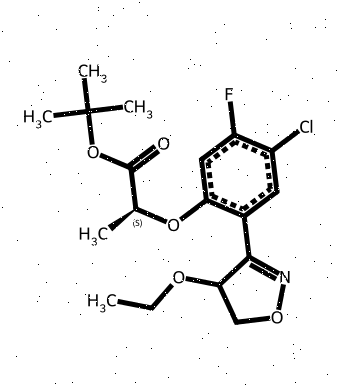 CCOC1CON=C1c1cc(Cl)c(F)cc1O[C@@H](C)C(=O)OC(C)(C)C